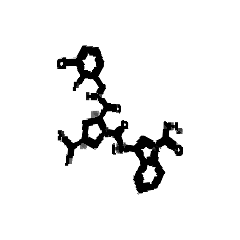 NC(=O)n1cc(NC(=O)N2C[C@@H](C(F)F)C[C@H]2C(=O)NCc2cccc(Cl)c2F)c2ccccc21